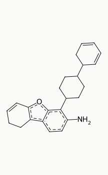 Nc1ccc2c3c(oc2c1C1CCC(C2C=CC=CC2)CC1)C=CCC3